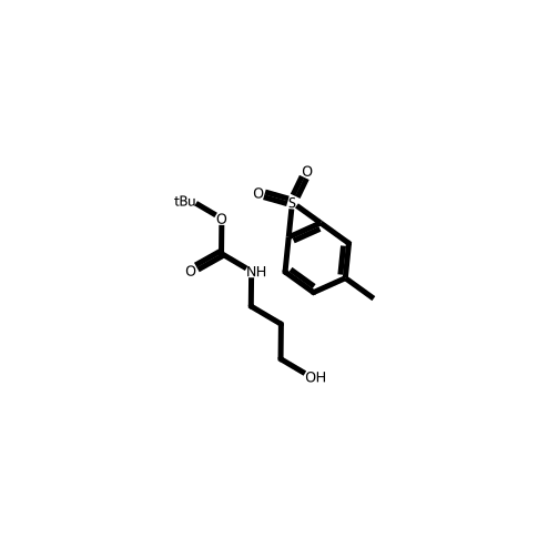 CC(C)(C)OC(=O)NCCCO.Cc1ccc2c(c1)S2(=O)=O